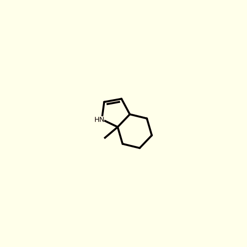 CC12CCCCC1C=CN2